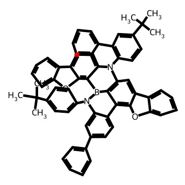 CC(C)(C)c1ccc(N2B3c4c(cc5c(oc6ccccc65)c4-c4ccc(-c5ccccc5)cc42)N(c2ccc(C(C)(C)C)cc2-c2ccccc2)c2ccc4c(oc5ccccc54)c23)cc1